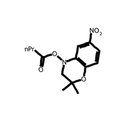 CCCC(=O)ON1CC(C)(C)Oc2ccc([N+](=O)[O-])cc21